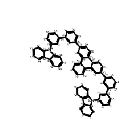 C1=Cc2c(c3ccccc3n2-c2cccc(-c3cccc(-c4ccc5c6ccc(-c7cccc(-c8cccc(-n9c%10ccccc%10c%10ccccc%109)c8)c7)cc6c6ccccc6c5c4)c3)c2)CC1